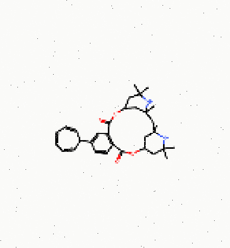 CC1(C)CC2CC(C)(CC3(C)CC(CC(C)(C)N3)OC(=O)c3cc(C4C=CC=CC=C4)ccc3C(=O)O2)N1